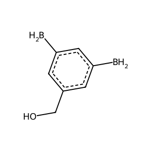 Bc1cc(B)cc(CO)c1